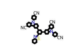 N#Cc1ccc(-n2c3ccc(C#N)cc3c3cc(-c4cc(-c5ccc6c(c5)c5cc(C#N)ccc5n6-c5ccc(C#N)cc5)cc(-c5nc6ccccc6s5)c4)ccc32)cc1